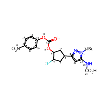 CC(C)(C)n1nc(C2CC(F)C(OC(=O)Oc3ccc([N+](=O)[O-])cc3)C2)cc1NC(=O)O